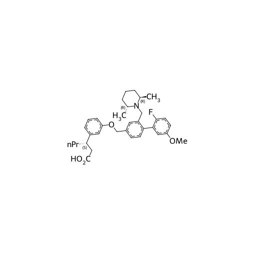 CCC[C@@H](CC(=O)O)c1cccc(OCc2ccc(-c3cc(OC)ccc3F)c(CN3[C@H](C)CCC[C@H]3C)c2)c1